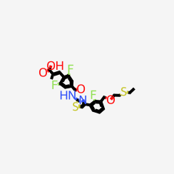 CCSCCOCc1cccc(-c2csc(NC(=O)c3cc(F)c(/C=C(\C)C(=O)O)c(F)c3)n2)c1F